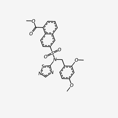 COC(=O)c1cccc2cc(S(=O)(=O)N(Cc3ccc(OC)cc3OC)c3ncns3)ccc12